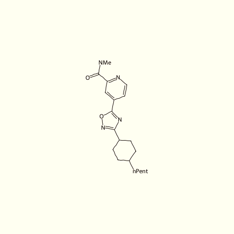 CCCCCC1CCC(c2noc(-c3ccnc(C(=O)NC)c3)n2)CC1